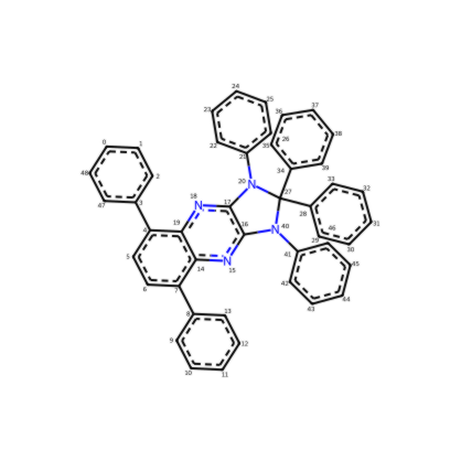 c1ccc(-c2ccc(-c3ccccc3)c3nc4c(nc23)N(c2ccccc2)C(c2ccccc2)(c2ccccc2)N4c2ccccc2)cc1